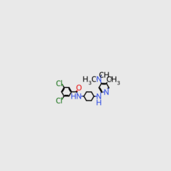 Cc1cnc(NC2CCC(NC(=O)c3cc(Cl)cc(Cl)c3)CC2)cc1N(C)C